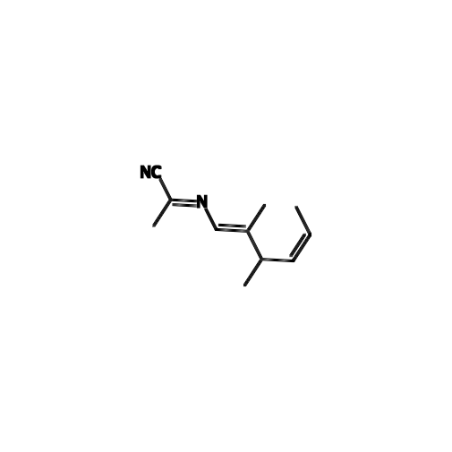 C/C=C\C(C)/C(C)=C/N=C(\C)C#N